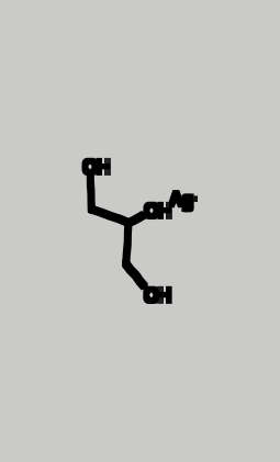 OCC(O)CO.[Ag]